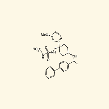 COc1cccc([C@]2(CNS(=O)(=O)NC(=O)O)CC[C@@H](NC(C)c3ccc(-c4ccccc4)cc3)CC2)c1